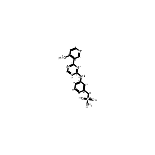 COc1ccncc1-c1ncnc(Nc2cccc(CS(N)(=O)=O)c2)n1